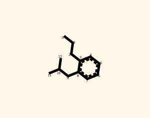 CCCc1ccccc1[CH]C(C)C